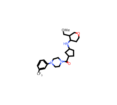 COCC1COCCC1NC1CCC(C(=O)N2CCN(c3cccc(C(F)(F)F)c3)CC2)C1